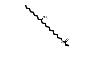 C=CC(=O)OCCCCCCCCCCC(N)CCCCCCCC